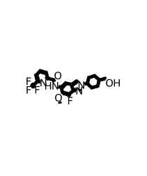 COc1c(NC(=O)c2cccc(C(F)(F)F)n2)cc2cn(C3CCC(CO)CC3)nc2c1F